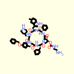 Cc1ccc2[nH]cc(C[C@H]3NC(=O)[C@H](c4ccccc4)NC(=O)[C@@H]4C[C@@H](OC(=O)NCCN)CN4C(=O)[C@H](Cc4ccccc4)NC(=O)[C@H](Cc4ccc(OCc5ccccc5)cc4)NC(=O)[C@H](CC4CCNCC4)NC3=O)c2c1